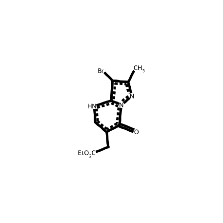 CCOC(=O)Cc1c[nH]c2c(Br)c(C)nn2c1=O